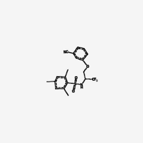 Cc1cc(C)c(S(=O)(=O)NC(COc2cccc(C#N)c2)C(F)(F)F)c(C)c1